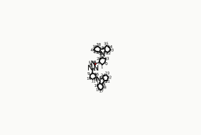 c1cc(-c2ncnc(-c3cccc(-n4c5ccccc5c5ccccc54)c3)n2)cc(-n2c3ccccc3c3ccccc32)c1